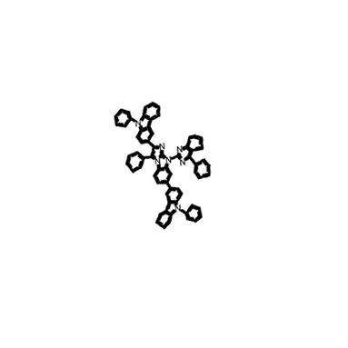 c1ccc(-c2nc(-n3c4cc(-c5ccc6c(c5)c5ccccc5n6-c5ccccc5)ccc4n4c(-c5ccccc5)c(-c5ccc6c(c5)c5ccccc5n6-c5ccccc5)nc34)nc3ccccc23)cc1